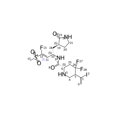 C=C(I)C1CN[C@H](C(=O)N[C@H](/C=C(\F)S(C)(=O)=O)C[C@@H]2CCNC2=O)CC1(F)F